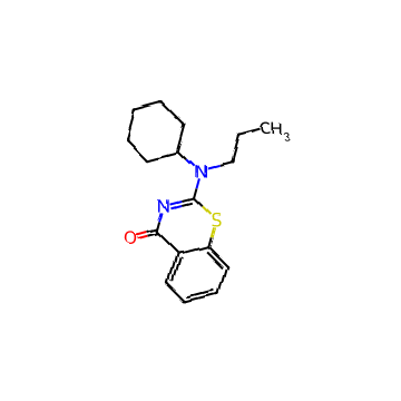 CCCN(c1nc(=O)c2ccccc2s1)C1CCCCC1